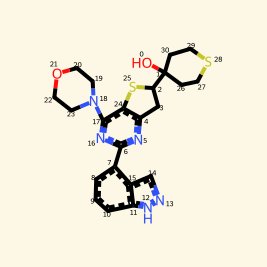 OC1(C2Cc3nc(-c4cccc5[nH]ncc45)nc(N4CCOCC4)c3S2)CCSCC1